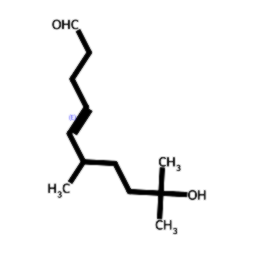 CC(/C=C/CCC=O)CCC(C)(C)O